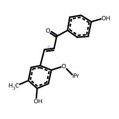 Cc1cc(/C=C/C(=O)c2ccc(O)cc2)c(OC(C)C)cc1O